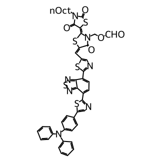 CCCCCCCCN1C(=O)S/C(=c2/s/c(=C/c3cnc(-c4ccc(-c5ncc(-c6ccc(N(c7ccccc7)c7ccccc7)cc6)s5)c5nsnc45)s3)c(=O)n2COC=O)C1=O